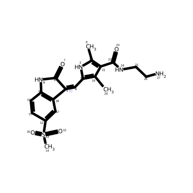 Cc1[nH]c(/C=C2\C(=O)Nc3ccc(S(C)(=O)=O)cc32)c(C)c1C(=O)NCCN